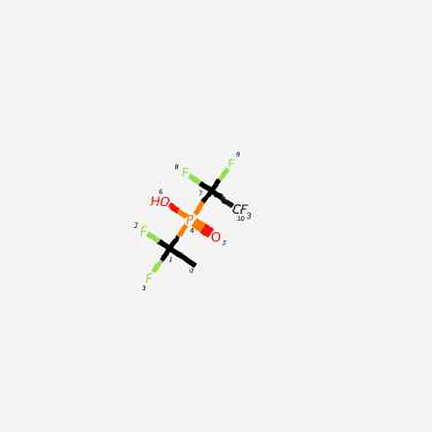 CC(F)(F)P(=O)(O)C(F)(F)C(F)(F)F